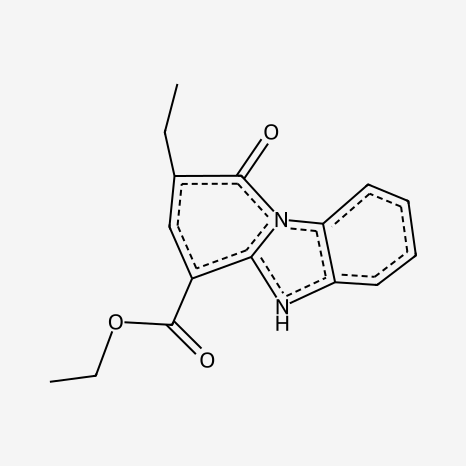 CCOC(=O)c1cc(CC)c(=O)n2c1[nH]c1ccccc12